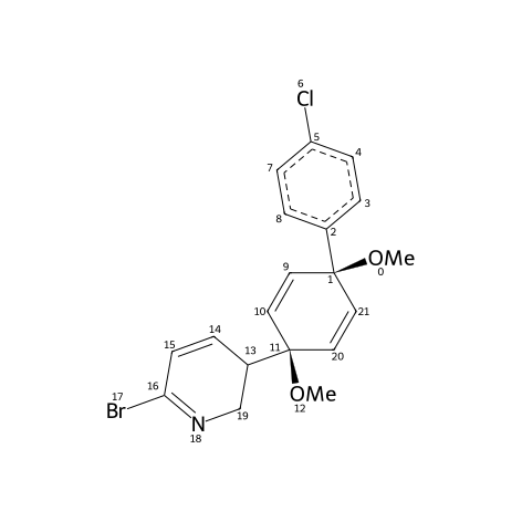 CO[C@]1(c2ccc(Cl)cc2)C=C[C@@](OC)(C2C=CC(Br)=NC2)C=C1